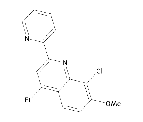 CCc1cc(-c2ccccn2)nc2c(Cl)c(OC)ccc12